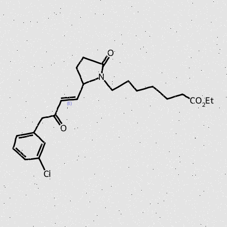 CCOC(=O)CCCCCCN1C(=O)CCC1/C=C/C(=O)Cc1cccc(Cl)c1